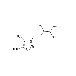 Nc1cnn(CCC(O)C(O)CO)c1N